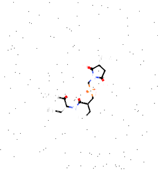 CNC(=O)[C@H](CC(C)C)NC(=O)C(CC(C)C)CP(=O)(O)CN1C(=O)C[C@@H](NC(C)=O)C1=O